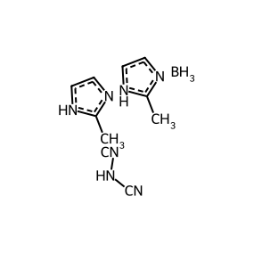 B.Cc1ncc[nH]1.Cc1ncc[nH]1.N#CNC#N